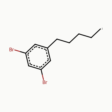 [CH]CCCCc1cc(Br)cc(Br)c1